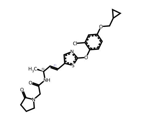 C[C@@H](/C=C/c1cnc(Oc2ccc(OCC3CC3)cc2Cl)s1)NC(=O)CN1CCCC1=O